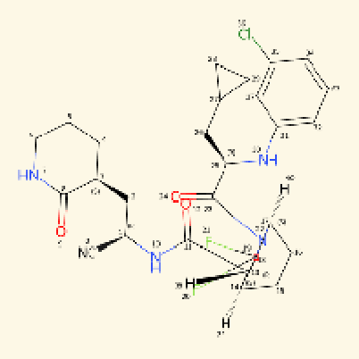 N#C[C@@H](C[C@@H]1CCCNC1=O)NC(=O)[C@H]1[C@@H]2CC[C@@H](CC2(F)F)N1C(=O)[C@@H](CC1CC1)Nc1cccc(Cl)c1